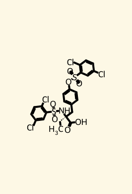 CC[C@@](Cc1ccc(OS(=O)(=O)c2cc(Cl)ccc2Cl)cc1)(NS(=O)(=O)c1cc(Cl)ccc1Cl)C(=O)O